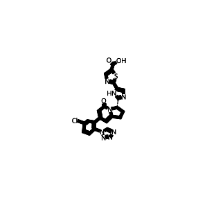 O=C(O)c1cnc(-c2cnc([C@@H]3CCc4cc(-c5cc(Cl)ccc5-n5cnnn5)cc(=O)n43)[nH]2)s1